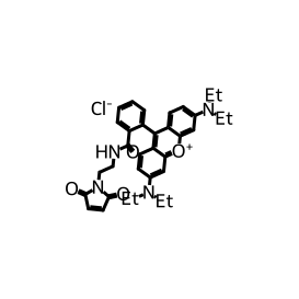 CCN(CC)c1ccc2c(-c3ccccc3C(=O)NCCN3C(=O)C=CC3=O)c3ccc(N(CC)CC)cc3[o+]c2c1.[Cl-]